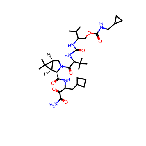 CC(C)[C@@H](COC(=O)NCC1CC1)NC(=O)N[C@H](C(=O)N1C[C@H]2[C@@H]([C@H]1C(=O)NC(CC1CCC1)C(=O)C(N)=O)C2(C)C)C(C)(C)C